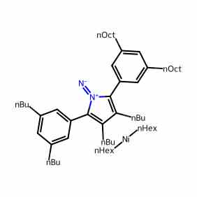 CCCCCCCCc1cc(CCCCCCCC)cc(C2=C(CCCC)C(CCCC)=C(c3cc(CCCC)cc(CCCC)c3)[N+]2=[N-])c1.CCCCC[CH2][Ni][CH2]CCCCC